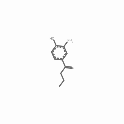 CCCC(=O)c1ccc(O)c(N)c1